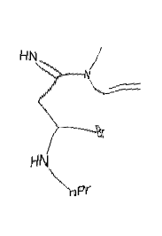 C=CN(C)C(=N)CC(Br)NCCC